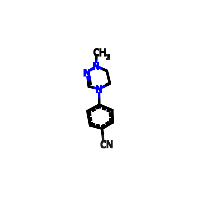 CN1CCN(c2ccc(C#N)cc2)C=N1